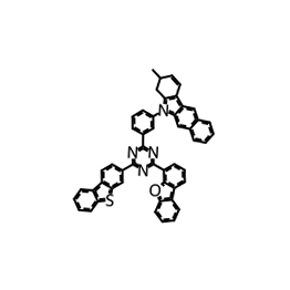 CC1C=Cc2c(n(-c3cccc(-c4nc(-c5ccc6c(c5)sc5ccccc56)nc(-c5cccc6c5oc5ccccc56)n4)c3)c3cc4ccccc4cc23)C1